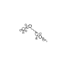 COc1ccc(C2(C#N)CCN(CCCCc3cccc4c3CN(C3CCC(=O)NC3=O)C4=O)CC2)c(Cl)c1